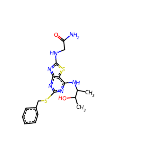 CC(O)C(C)Nc1nc(SCc2ccccc2)nc2nc(NCC(N)=O)sc12